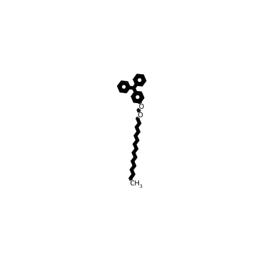 CCCCCCCCCCCCCCCCOCOc1ccc(C(c2ccccc2)c2ccccc2)cc1